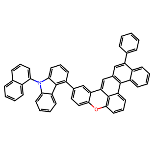 c1ccc(-c2cc3cc4c5c(cccc5c3c3ccccc23)Oc2ccc(-c3cccc5c3c3ccccc3n5-c3cccc5ccccc35)cc2-4)cc1